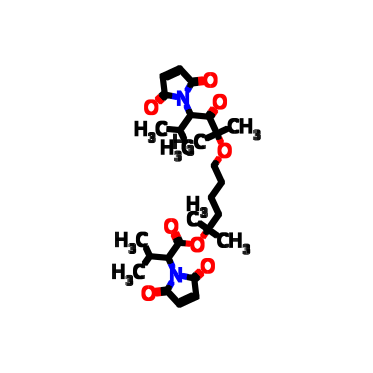 CC(C)C(C(=O)OC(C)(C)CCCCOC(C)(C)C(=O)C(C(C)C)N1C(=O)C=CC1=O)N1C(=O)C=CC1=O